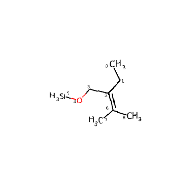 CCC(CO[SiH3])=C(C)C